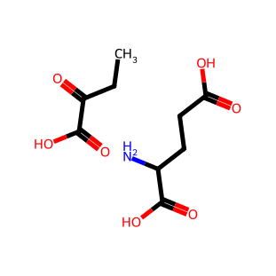 CCC(=O)C(=O)O.NC(CCC(=O)O)C(=O)O